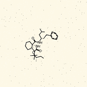 CC[C@H](C)CCN1CCCC[C@@]1(NC(=O)OC(C)(C)C)C(=O)N[C@@H](CCc1ccccc1)CC(C)C